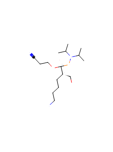 CC(C)N(P[C@](O)(OCCC#N)[C@@H](CO)CCCCN)C(C)C